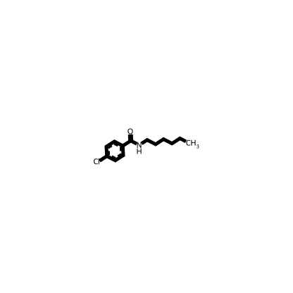 CCCCCCNC(=O)c1ccc(Cl)cc1